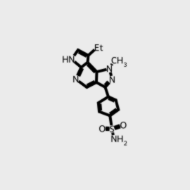 CCc1c[nH]c2ncc3c(-c4ccc(S(N)(=O)=O)cc4)nn(C)c3c12